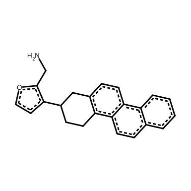 NCc1occc1C1CCc2c(ccc3c2ccc2ccccc23)C1